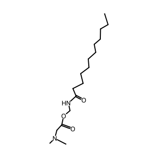 CCCCCCCCCCCC(=O)NCOC(=O)CN(C)C